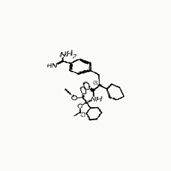 COC(=O)[C@@](NC(=O)[C@@H](Cc1ccc(C(=N)N)cc1)C1CCCCC1)(OC(C)=O)C1CCCCC1